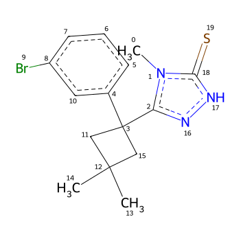 Cn1c(C2(c3cccc(Br)c3)CC(C)(C)C2)n[nH]c1=S